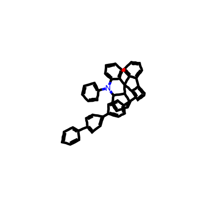 C1=CC2C(C=C1)C1(c3ccccc3-c3cccc(-c4ccc(-c5ccc(-c6ccccc6)cc5)cc4)c31)c1ccccc1N2c1ccccc1